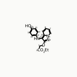 CCOC(=O)COc1nn2ccccc2c1Nc1ccc(O)cc1